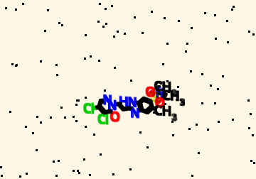 Cc1cc2nc(CCn3ncc(Cl)c(Cl)c3=O)[nH]c2cc1S(=O)(=O)N(C)C